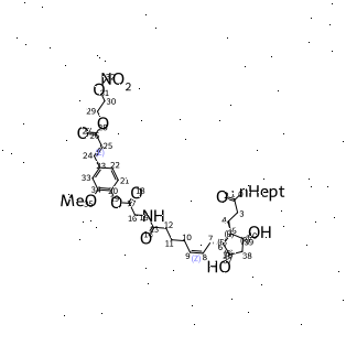 CCCCCCCC(=O)CC[C@@H]1[C@@H](C/C=C\CCCC(=O)NCC(=O)Oc2ccc(/C=C/C(=O)OCCO[N+](=O)[O-])cc2OC)[C@@H](O)C[C@H]1O